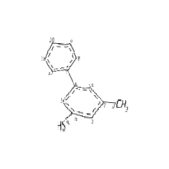 Cc1cc(S)cc(-c2ccccc2)c1